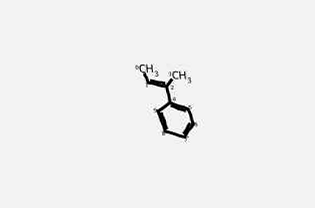 CC=C(C)c1cc[c]cc1